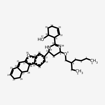 CCCCC(CC)COC1CC(c2ccc3c4c(oc3c2)C=C2C=CCCC2C4)NC(C2C=CCCC2O)=N1